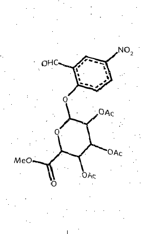 COC(=O)C1OC(Oc2ccc([N+](=O)[O-])cc2C=O)C(OC(C)=O)C(OC(C)=O)C1OC(C)=O